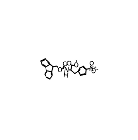 COC(=O)C(Cc1ccc([N+](=O)[O-])cc1)NC(=O)OCC1c2ccccc2-c2ccccc21